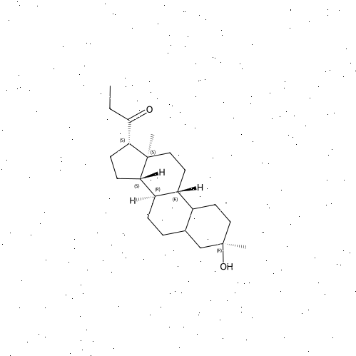 CCC(=O)[C@H]1CC[C@H]2[C@@H]3CCC4C[C@](C)(O)CCC4[C@H]3CC[C@]12C